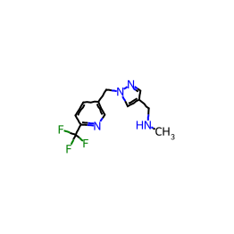 CNCc1cnn(Cc2ccc(C(F)(F)F)nc2)c1